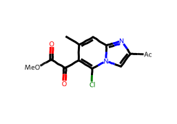 COC(=O)C(=O)c1c(C)cc2nc(C(C)=O)cn2c1Cl